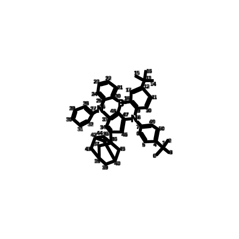 CC(C)(C)c1ccc(N2c3ccc(C(C)(C)C)cc3B3c4ccccc4N(c4ccccc4)c4cc(C56CC7CC(CC(C7)C5)C6)cc2c43)cc1